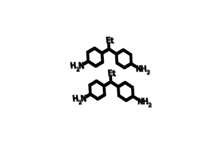 CCC(C1CCC(N)CC1)C1CCC(N)CC1.CCC(C1CCC(N)CC1)C1CCC(N)CC1